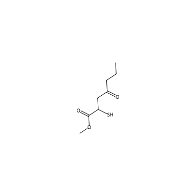 CCCC(=O)CC(S)C(=O)OC